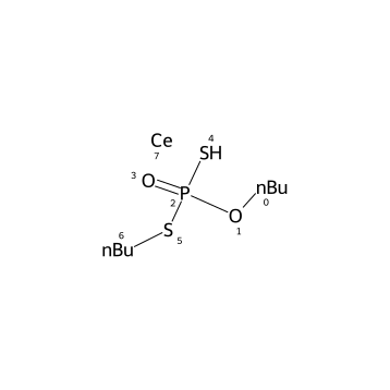 CCCCOP(=O)(S)SCCCC.[Ce]